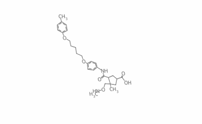 CNOCC1(C)CC(C(=O)O)CC1C(=O)Nc1ccc(OCCCCCOc2ccc(C)cc2)cc1